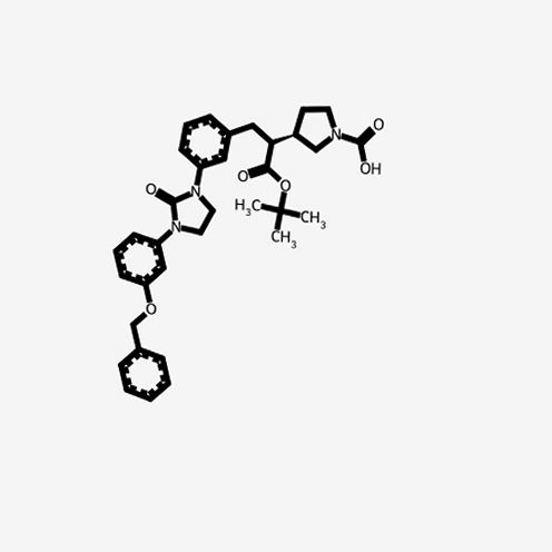 CC(C)(C)OC(=O)C(Cc1cccc(N2CCN(c3cccc(OCc4ccccc4)c3)C2=O)c1)[C@H]1CCN(C(=O)O)C1